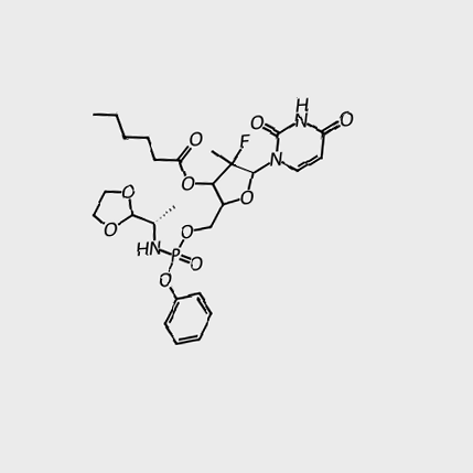 CCCCCC(=O)OC1C(COP(=O)(N[C@@H](C)C2OCCO2)Oc2ccccc2)OC(n2ccc(=O)[nH]c2=O)C1(C)F